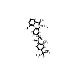 CN(C(=O)c1cccc(F)c1)c1cccc(C(=O)N(I)c2ccc(C(F)(C(F)(F)F)C(F)(F)F)cc2C(F)(F)F)c1